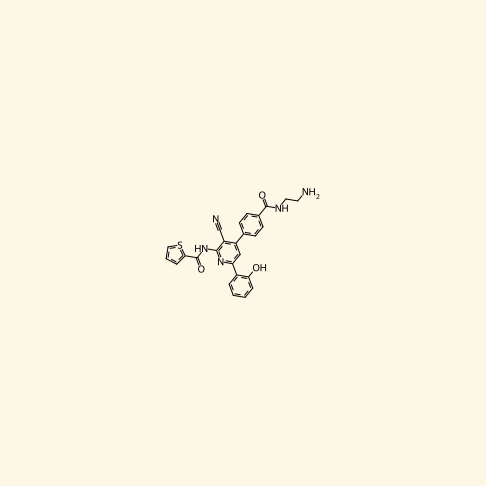 N#Cc1c(-c2ccc(C(=O)NCCN)cc2)cc(-c2ccccc2O)nc1NC(=O)c1cccs1